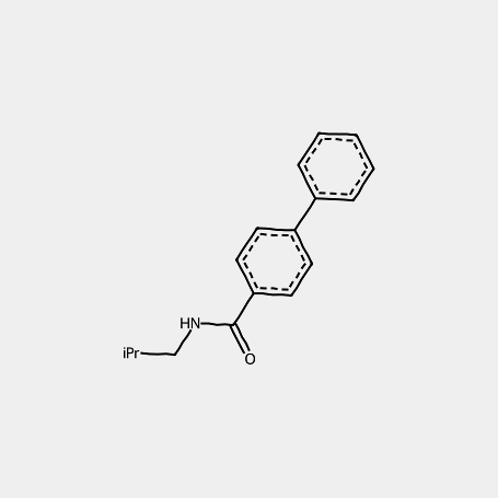 CC(C)CNC(=O)c1ccc(-c2ccccc2)cc1